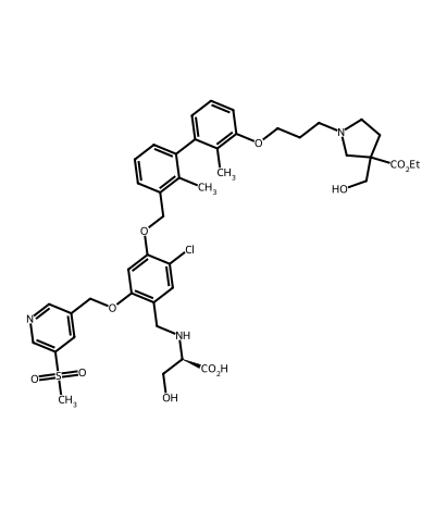 CCOC(=O)C1(CO)CCN(CCCOc2cccc(-c3cccc(COc4cc(OCc5cncc(S(C)(=O)=O)c5)c(CN[C@H](CO)C(=O)O)cc4Cl)c3C)c2C)C1